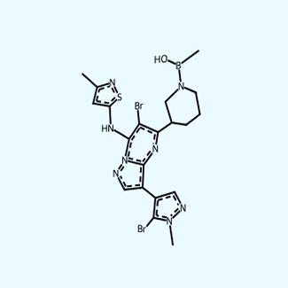 CB(O)N1CCCC(c2nc3c(-c4cnn(C)c4Br)cnn3c(Nc3cc(C)ns3)c2Br)C1